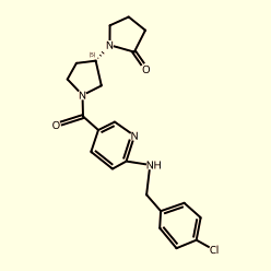 O=C(c1ccc(NCc2ccc(Cl)cc2)nc1)N1CC[C@H](N2CCCC2=O)C1